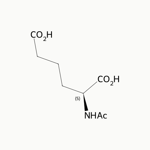 CC(=O)N[C@@H](CCCC(=O)O)C(=O)O